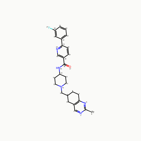 CC(C)c1ncc2c(n1)CCC(CN1CCC(NC(=O)c3ccc(-c4cccc(F)c4)nc3)CC1)C2